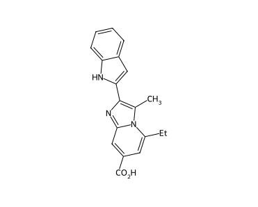 CCc1cc(C(=O)O)cc2nc(-c3cc4ccccc4[nH]3)c(C)n12